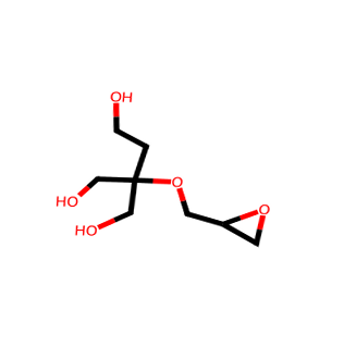 OCCC(CO)(CO)OCC1CO1